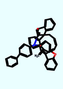 C=C1/C=C\C=C/CC2(c3ccccc31)c1ccccc1-c1cccc(N(c3ccc(-c4ccccc4)cc3)c3ccc4oc5ccccc5c4c3)c12